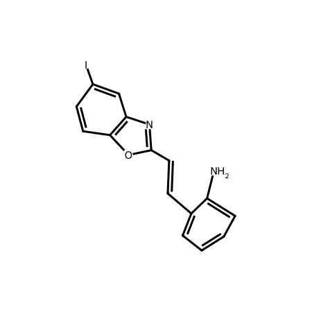 Nc1ccccc1C=Cc1nc2cc(I)ccc2o1